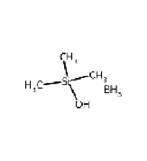 B.C[Si](C)(C)O